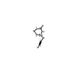 CC#CCN1CCCC(C)C1